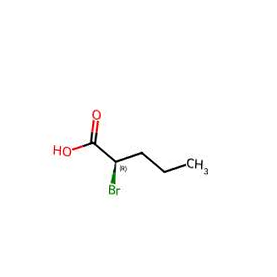 CCC[C@@H](Br)C(=O)O